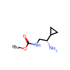 CC(C)(C)OC(=O)NC[C@@H](N)C1CC1